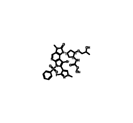 CC(O)CO[C@@H]1C[C@@H](n2c(=O)n(C)c3cnc4c(c(Br)c(-c5cn(C)nc5F)n4S(=O)(=O)c4ccccc4)c32)C[C@@H]1NC(=O)OC(C)(C)C